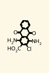 Nc1c(Cl)c(C(=O)O)c(N)c2c1C(=O)c1ccccc1C2=O